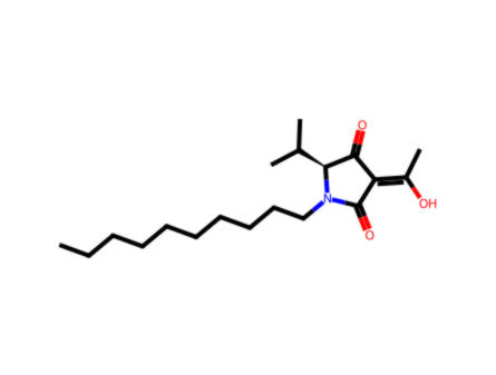 CCCCCCCCCCN1C(=O)/C(=C(/C)O)C(=O)[C@@H]1C(C)C